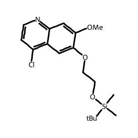 COc1cc2nccc(Cl)c2cc1OCCO[Si](C)(C)C(C)(C)C